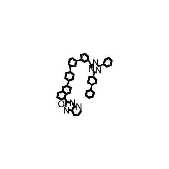 c1ccc(-c2ccc(-c3nc(-c4ccccc4)nc(-c4cccc(-c5cccc(-c6ccc(-c7ccc8c(ccc9oc%10nc%11cccnc%11nc%10c98)c7)cc6)c5)c4)n3)cc2)cc1